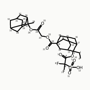 CCC1(OC(=O)C(F)(F)S(=O)(=O)O)C2CC3CC1CC(C(=O)OCC(=O)OC1(C)C4CC5CC(C4)CC1C5)(C3)C2